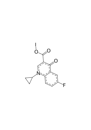 O=C(OI)c1cn(C2CC2)c2ccc(F)cc2c1=O